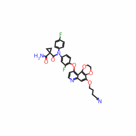 N#CCCCOc1cc2nccc(Oc3ccc(N(C(=O)C4(C(N)=O)CC4)c4ccc(F)cc4)cc3F)c2c2c1OCCO2